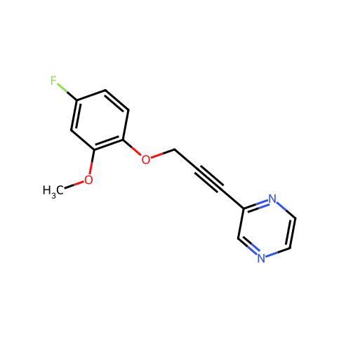 COc1cc(F)ccc1OCC#Cc1cnccn1